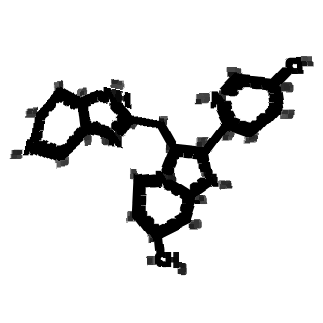 Cc1ccn2c(Cc3nc4cnccc4[nH]3)c(-c3ccc(Cl)cn3)nc2c1